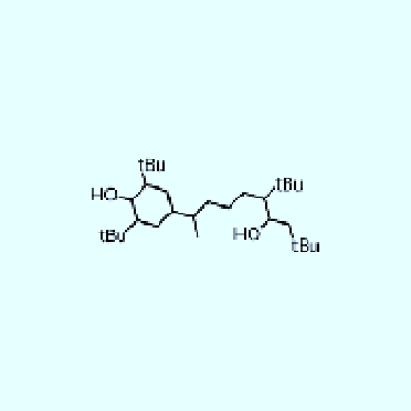 CC(CCCC(C(O)CC(C)(C)C)C(C)(C)C)C1CC(C(C)(C)C)C(O)C(C(C)(C)C)C1